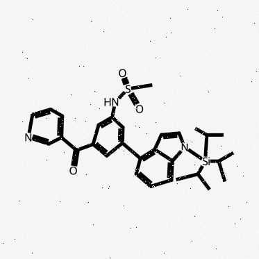 CC(C)[Si](C(C)C)(C(C)C)n1ccc2c(-c3cc(NS(C)(=O)=O)cc(C(=O)c4cccnc4)c3)cccc21